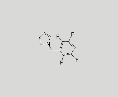 Fc1cc(F)c(F)c(Cn2cccc2)c1F